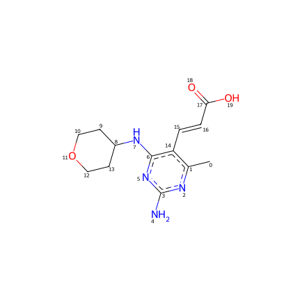 Cc1nc(N)nc(NC2CCOCC2)c1/C=C/C(=O)O